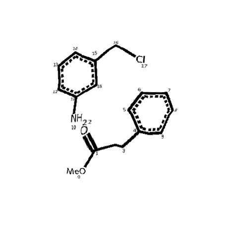 COC(=O)Cc1ccccc1.Nc1cccc(CCl)c1